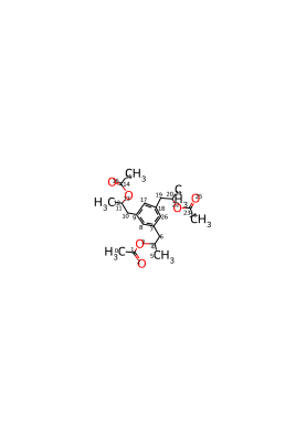 CC(=O)OC(C)Cc1cc(CC(C)OC(C)=O)cc(CC(C)OC(C)=O)c1